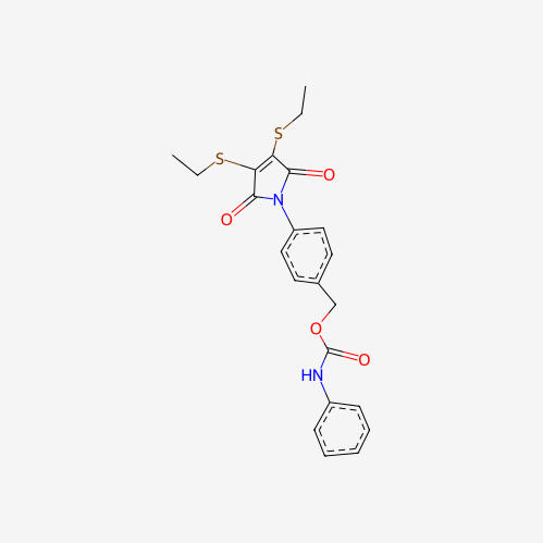 CCSC1=C(SCC)C(=O)N(c2ccc(COC(=O)Nc3ccccc3)cc2)C1=O